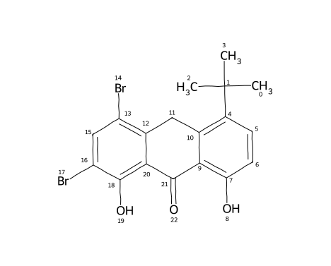 CC(C)(C)c1ccc(O)c2c1Cc1c(Br)cc(Br)c(O)c1C2=O